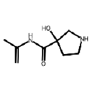 C=C(C)NC(=O)C1(O)CCNC1